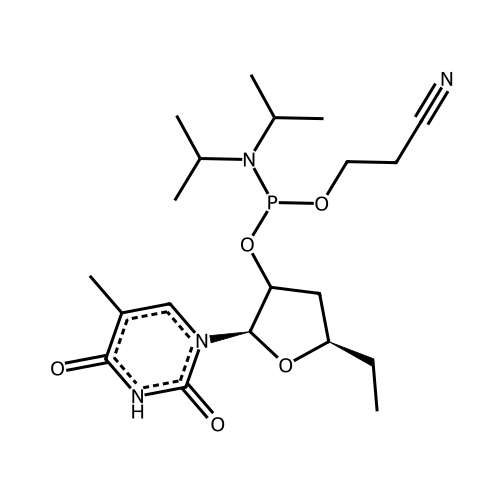 CC[C@@H]1CC(OP(OCCC#N)N(C(C)C)C(C)C)[C@H](n2cc(C)c(=O)[nH]c2=O)O1